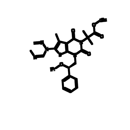 C=NN(/C=N\C)c1sc2c(c1C)c(=O)n(C(C)(C)C(=O)OC(C)(C)C)c(=O)n2C[C@H](OC(C)C)c1ccccc1